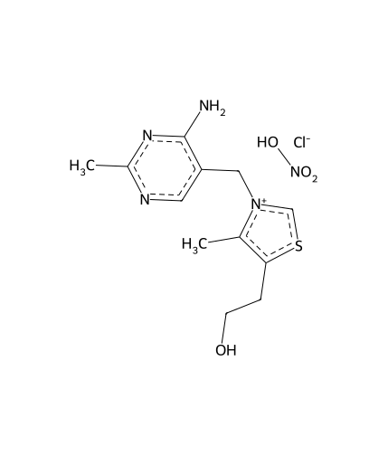 Cc1ncc(C[n+]2csc(CCO)c2C)c(N)n1.O=[N+]([O-])O.[Cl-]